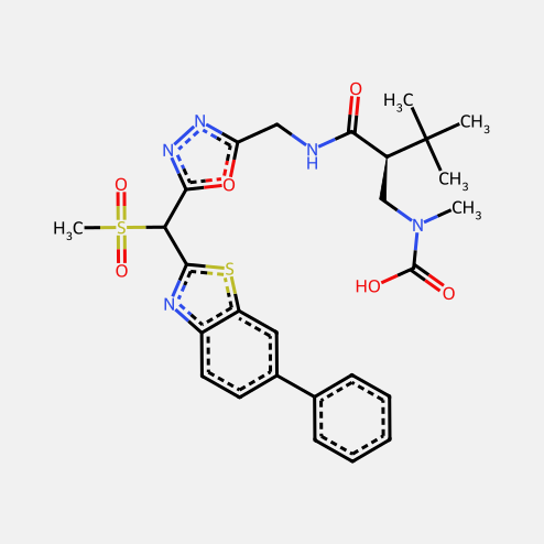 CN(C[C@@H](C(=O)NCc1nnc(C(c2nc3ccc(-c4ccccc4)cc3s2)S(C)(=O)=O)o1)C(C)(C)C)C(=O)O